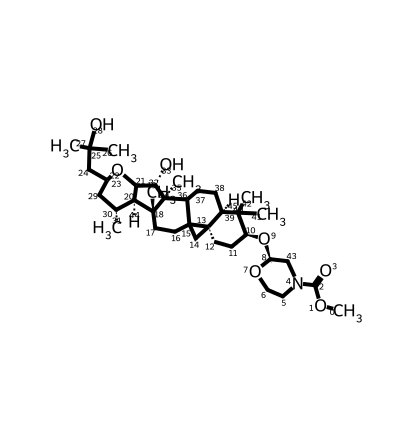 COC(=O)N1CCO[C@@H](O[C@H]2CC[C@]34CC35CC[C@]3(C)[C@@H]6C(OC(CC(C)(C)O)C[C@H]6C)[C@H](O)[C@@]3(C)C5CC[C@H]4C2(C)C)C1